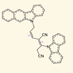 N#CC/C(=C(C#N)\C=C/Cn1c2ccccc2c2cc3ccccc3cc21)n1c2ccccc2c2ccccc21